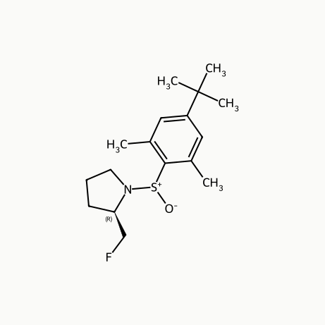 Cc1cc(C(C)(C)C)cc(C)c1[S+]([O-])N1CCC[C@@H]1CF